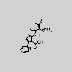 C=N/C(C)=C(\SN)C(=O)Nc1scc(-c2cnccn2)c1C(=O)O